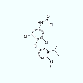 COc1ccc(Oc2c(Cl)cc(NC(=O)Cl)cc2Cl)cc1C(C)C